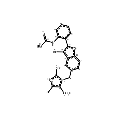 CCCc1nc(C)c(C(=O)O)n1Cc1ccc2oc(-c3ccccc3NC(=O)C(C)(C)C)c(Br)c2c1